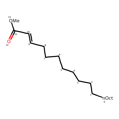 CCCCCCCCCCCCCCCCC=CC(=O)OC